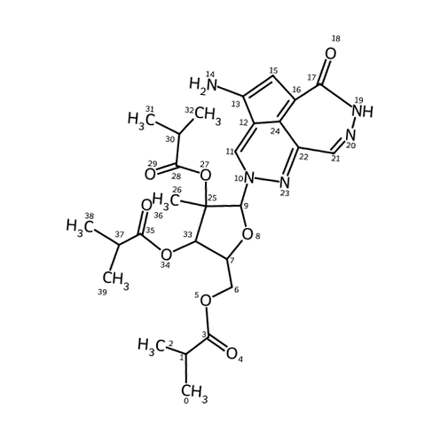 CC(C)C(=O)OCC1OC(n2cc3c(N)cc4c(=O)[nH]ncc(n2)c34)C(C)(OC(=O)C(C)C)C1OC(=O)C(C)C